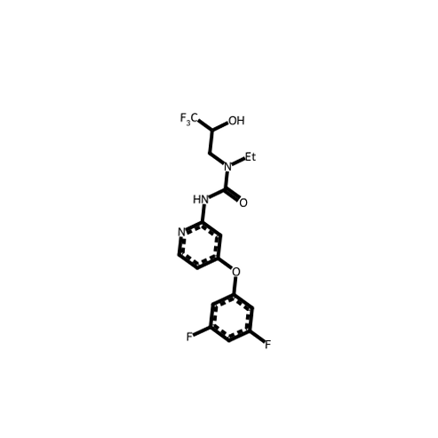 CCN(CC(O)C(F)(F)F)C(=O)Nc1cc(Oc2cc(F)cc(F)c2)ccn1